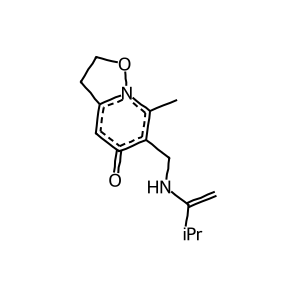 C=C(NCc1c(C)n2c(cc1=O)CCO2)C(C)C